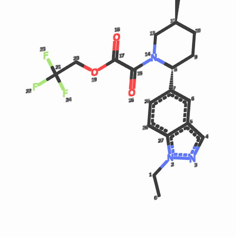 CCn1ncc2cc([C@H]3CC[C@H](C)CN3C(=O)C(=O)OCC(F)(F)F)ccc21